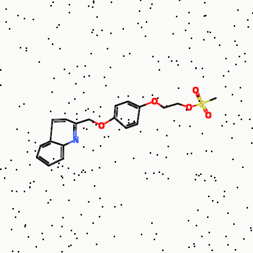 CS(=O)(=O)OCCOc1ccc(OCc2ccc3ccccc3n2)cc1